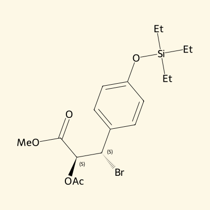 CC[Si](CC)(CC)Oc1ccc([C@H](Br)[C@@H](OC(C)=O)C(=O)OC)cc1